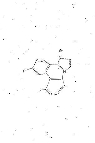 CCn1ccnc1-c1ccc(F)cc1-c1c(C)cccc1C